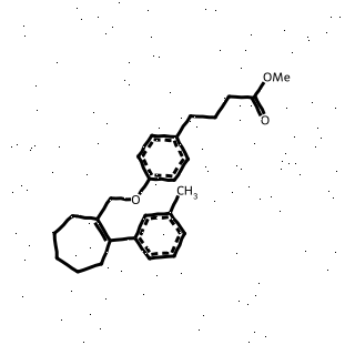 COC(=O)CCCc1ccc(OCC2=C(c3cccc(C)c3)CCCCC2)cc1